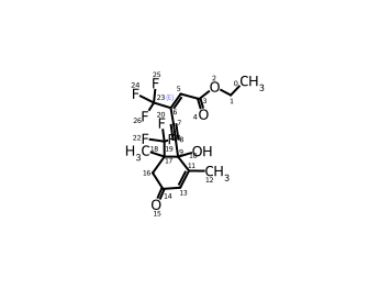 CCOC(=O)/C=C(\C#CC1(O)C(C)=CC(=O)CC1(C)C(F)(F)F)C(F)(F)F